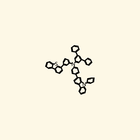 c1ccc(-c2cc(-c3ccccc3)cc(N(c3ccc(-c4ccc5c6ccccc6n(-c6ccccc6)c5c4)cc3)c3cccc(-c4cccc5c4sc4ccccc45)c3)c2)cc1